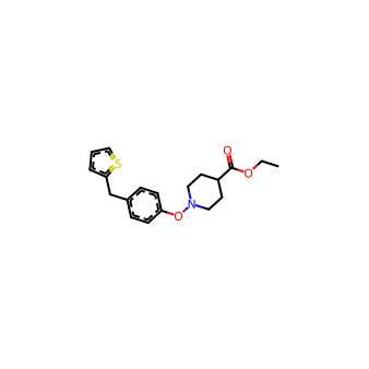 CCOC(=O)C1CCN(Oc2ccc(Cc3cccs3)cc2)CC1